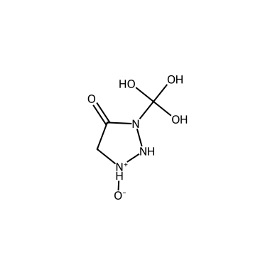 O=C1C[NH+]([O-])NN1C(O)(O)O